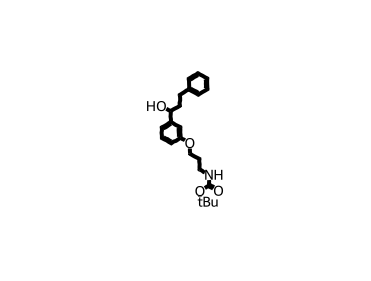 CC(C)(C)OC(=O)NCCCOc1cccc(C(O)CCc2ccccc2)c1